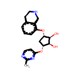 Cc1nccc(O[C@@H]2C[C@H](Oc3cccc4c3CNCC4)[C@@H](O)[C@H]2O)n1